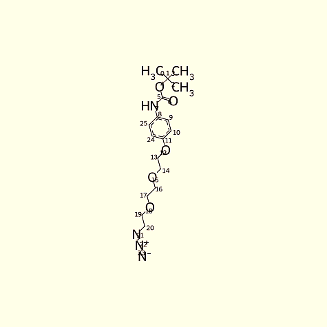 CC(C)(C)OC(=O)Nc1ccc(OCCOCCOCCN=[N+]=[N-])cc1